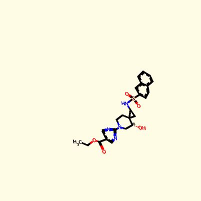 CCOC(=O)c1cnc(N2CCC3(CC3NS(=O)(=O)c3ccc4ccccc4c3)[C@H](O)C2)nc1